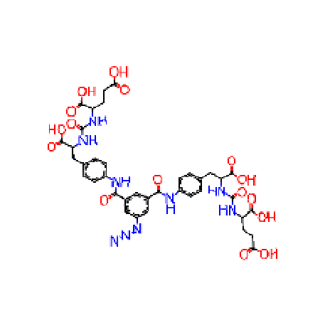 [N-]=[N+]=Nc1cc(C(=O)Nc2ccc(CC(NC(=O)NC(CCC(=O)O)C(=O)O)C(=O)O)cc2)cc(C(=O)Nc2ccc(CC(NC(=O)NC(CCC(=O)O)C(=O)O)C(=O)O)cc2)c1